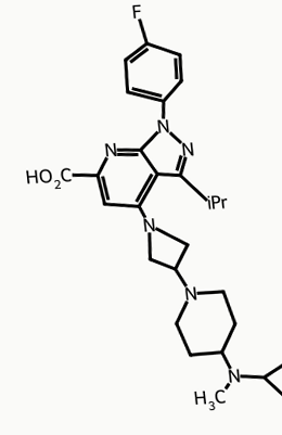 CC(C)c1nn(-c2ccc(F)cc2)c2nc(C(=O)O)cc(N3CC(N4CCC(N(C)C5COC5)CC4)C3)c12